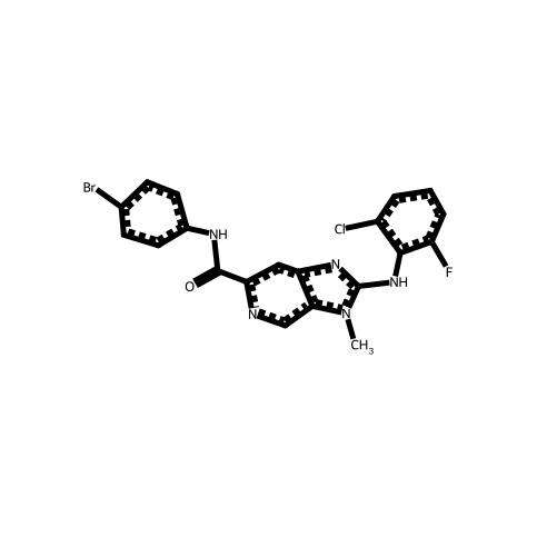 Cn1c(Nc2c(F)cccc2Cl)nc2cc(C(=O)Nc3ccc(Br)cc3)ncc21